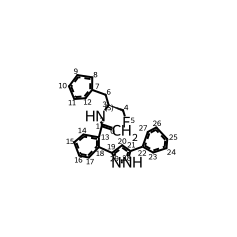 C=C(N[C@H](CF)Cc1ccccc1)c1ccccc1-c1cc(-c2ccccc2)[nH]n1